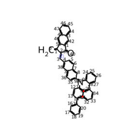 C=C1/C(=C/c2ccc3cc(N(c4ccc(-c5ccccc5)cc4)c4ccccc4-c4ccccc4)ccc3c2)C(=O)c2cc3ccccc3cc21